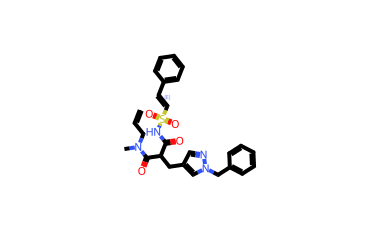 C=CCN(C)C(=O)C(Cc1cnn(Cc2ccccc2)c1)C(=O)NS(=O)(=O)/C=C/c1ccccc1